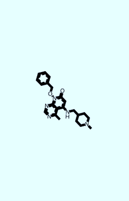 Cc1ncnc2c1c(NCC1CCN(C)CC1)cc(=O)n2OCc1ccccc1